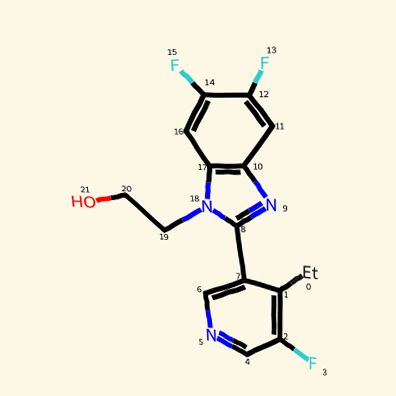 CCc1c(F)cncc1-c1nc2cc(F)c(F)cc2n1CCO